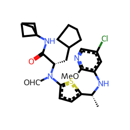 COc1ncc(Cl)cc1N[C@H](C)c1ccc(N(C=O)[C@@H](CC2CCCC2)C(=O)NC23CC(C2)C3)s1